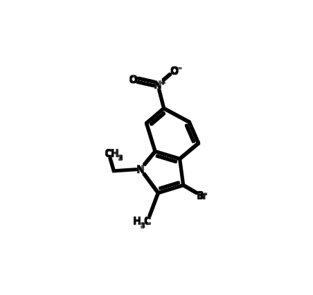 CCn1c(C)c(Br)c2ccc([N+](=O)[O-])cc21